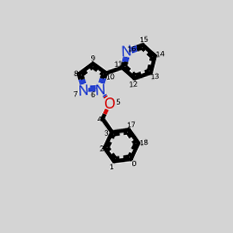 c1ccc(COn2nccc2-c2ccccn2)cc1